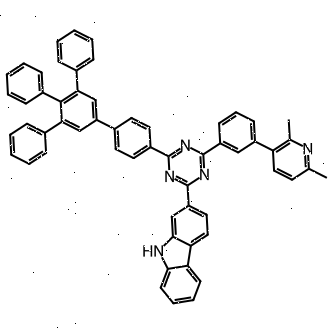 Cc1ccc(-c2cccc(-c3nc(-c4ccc(-c5cc(-c6ccccc6)c(-c6ccccc6)c(-c6ccccc6)c5)cc4)nc(-c4ccc5c(c4)[nH]c4ccccc45)n3)c2)c(C)n1